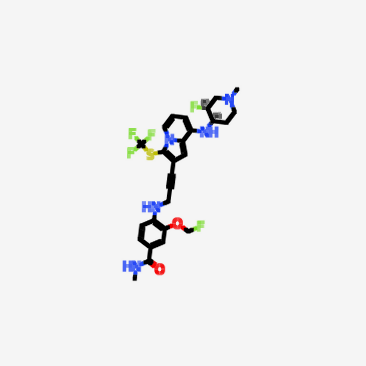 CNC(=O)c1ccc(NCC#Cc2cc3c(N[C@@H]4CCN(C)C[C@@H]4F)cccn3c2SC(F)(F)F)c(OCF)c1